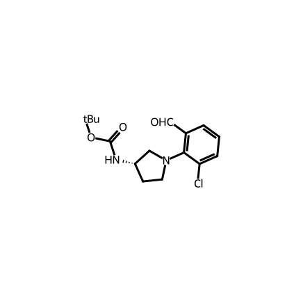 CC(C)(C)OC(=O)N[C@H]1CCN(c2c(Cl)cccc2C=O)C1